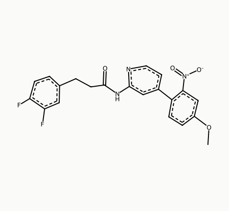 COc1ccc(-c2ccnc(NC(=O)CCc3ccc(F)c(F)c3)c2)c([N+](=O)[O-])c1